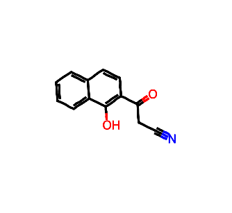 N#CCC(=O)c1ccc2ccccc2c1O